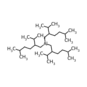 CC(C)CCC([CH2][Al]([CH2]C(CCC(C)C)C(C)C)[CH2]C(CCC(C)C)C(C)C)C(C)C